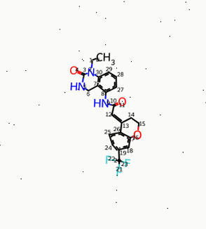 CCN1C(=O)NCc2c(NC(=O)/C=C3\CCOc4cc(C(F)(F)F)ccc43)cccc21